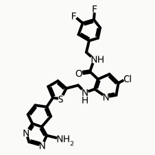 Nc1ncnc2ccc(-c3ccc(CNc4ncc(Cl)cc4C(=O)NCc4ccc(F)c(F)c4)s3)cc12